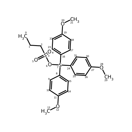 CCCS(=O)(=O)OS(c1ccc(OC)cc1)(c1ccc(OC)cc1)c1ccc(OC)cc1